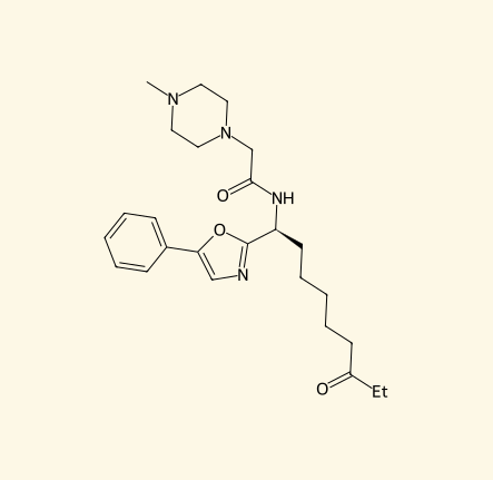 CCC(=O)CCCCC[C@H](NC(=O)CN1CCN(C)CC1)c1ncc(-c2ccccc2)o1